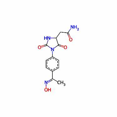 C/C(=N\O)c1ccc(N2C(=O)NC(CC(N)=O)C2=O)cc1